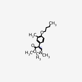 CCCCOc1ccc(/C(=C/N(C)C)C(=O)OC)cc1C